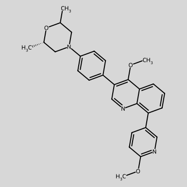 COc1ccc(-c2cccc3c(OC)c(-c4ccc(N5CC(C)O[C@@H](C)C5)cc4)cnc23)cn1